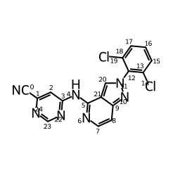 N#Cc1cc(Nc2nccc3nn(-c4c(Cl)cccc4Cl)cc23)ncn1